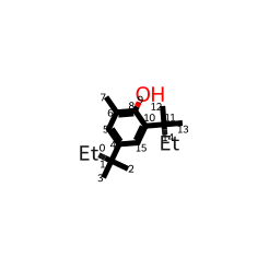 CCC(C)(C)c1cc(C)c(O)c(C(C)(C)CC)c1